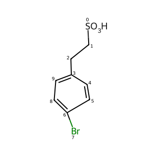 O=S(=O)(O)CCc1ccc(Br)cc1